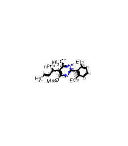 CC=CC(CCC)c1c(C)nc(-c2c(CC)cccc2CC)nc1OC